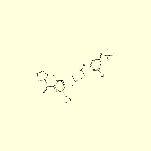 O=C(c1cc(C2CC2)c(CN2CCC(Oc3cc(Cl)cc(OC(F)(F)F)c3)CC2)cc1F)N1CCCC1